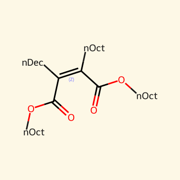 CCCCCCCCCC/C(C(=O)OCCCCCCCC)=C(\CCCCCCCC)C(=O)OCCCCCCCC